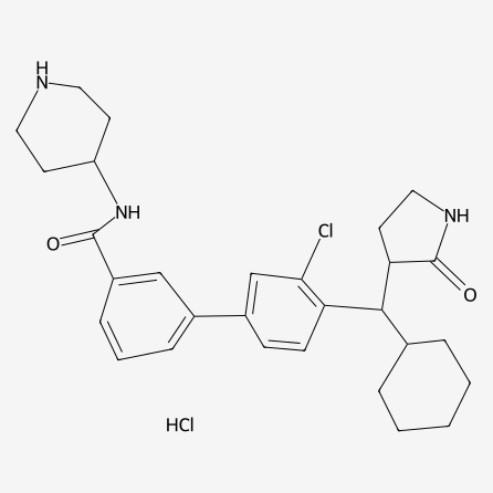 Cl.O=C(NC1CCNCC1)c1cccc(-c2ccc(C(C3CCCCC3)C3CCNC3=O)c(Cl)c2)c1